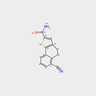 N#Cc1cccc2c1CCc1cc(C(N)=O)sc1-2